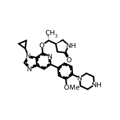 COc1cc(-c2cc3ncn(C4CC4)c3c(O[C@H](C)[C@H]3CNC(=O)C3)n2)ccc1N1CCNCC1